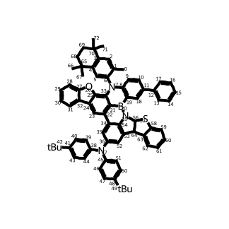 Cc1cc2c(cc1N1c3ccc(-c4ccccc4)cc3B3c4c(cc5c(oc6ccccc65)c41)-c1cc(N(c4ccc(C(C)(C)C)cc4)c4ccc(C(C)(C)C)cc4)cc4c1N3C1Sc3ccccc3C41)C(C)(C)CCC2(C)C